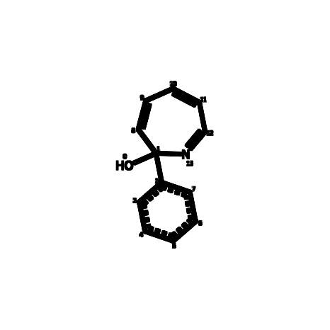 OC1(c2ccccc2)C=CC=CC=N1